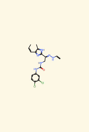 C=CN/N=C(\CNC(=O)Nc1ccc(Cl)c(Cl)c1)c1nc(/C=C\C)c(C)[nH]1